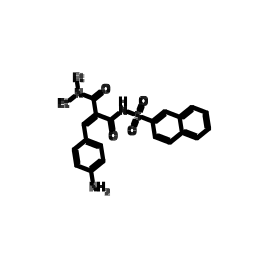 CCN(CC)C(=O)/C(=C/c1ccc(N)cc1)C(=O)NS(=O)(=O)c1ccc2ccccc2c1